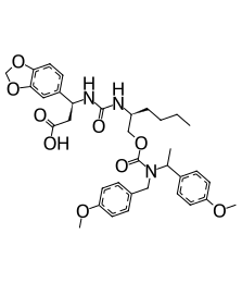 CCCC[C@@H](COC(=O)N(Cc1ccc(OC)cc1)C(C)c1ccc(OC)cc1)NC(=O)N[C@@H](CC(=O)O)c1ccc2c(c1)OCO2